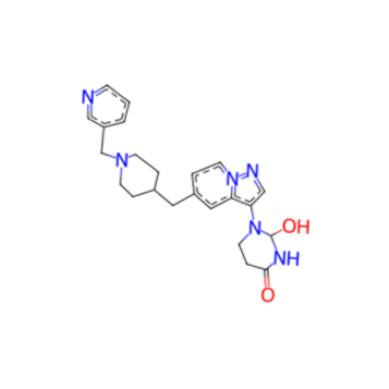 O=C1CCN(c2cnn3ccc(CC4CCN(Cc5cccnc5)CC4)cc23)C(O)N1